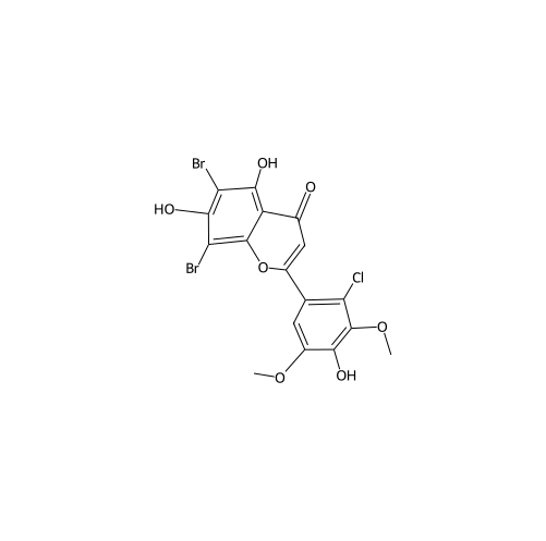 COc1cc(-c2cc(=O)c3c(O)c(Br)c(O)c(Br)c3o2)c(Cl)c(OC)c1O